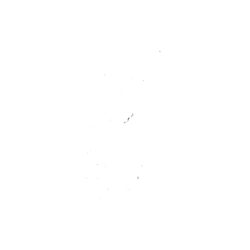 c1ccc(N2c3ccccc3C3(c4ccccc42)c2ccccc2N(c2cccc(-n4c5ccccc5c5ccccc54)c2)c2ccccc23)cc1